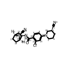 N#C[C@H]1CCCN(c2ccc(C(=O)N[C@@H]3C[C@@H]4CC[C@H]3N4C#N)c(Cl)c2)C1